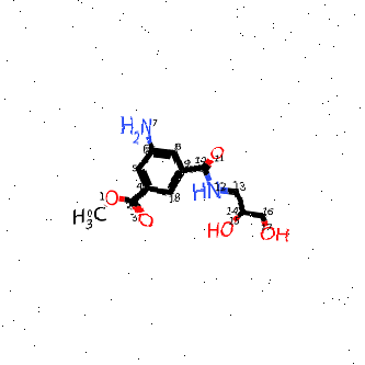 COC(=O)c1cc(N)cc(C(=O)NCC(O)CO)c1